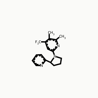 Cc1nc(N2CCCC2c2ccccn2)cc(C(F)(F)F)c1C